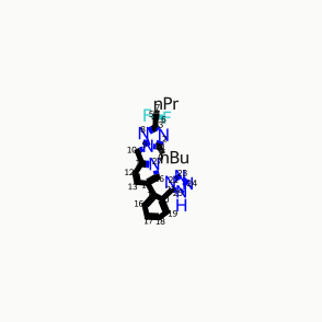 CCCCc1nc(C(F)(F)CCC)nn1Cc1ccc(-c2ccccc2-c2nnn[nH]2)cn1